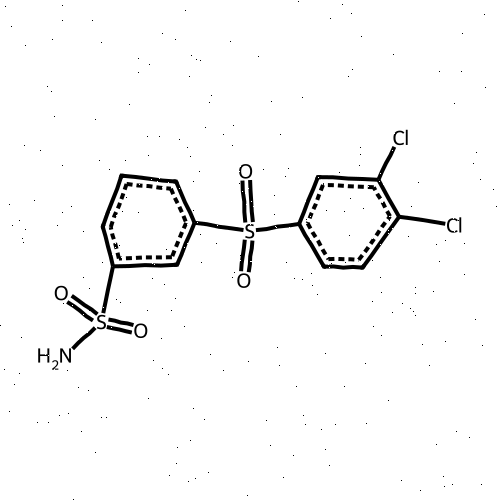 NS(=O)(=O)c1cccc(S(=O)(=O)c2ccc(Cl)c(Cl)c2)c1